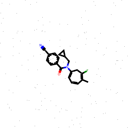 CC1=C(F)CC(N(CC2CC2)C(=O)c2ccc(C#N)cc2)=CC=C1